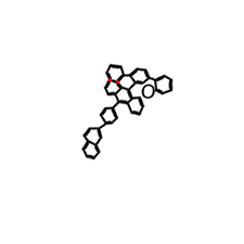 c1ccc(-c2ccc3c(oc4ccccc43)c2-c2c3ccccc3c(-c3ccc(-c4ccc5ccccc5c4)cc3)c3ccccc23)cc1